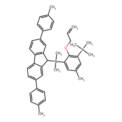 C=CCOc1c([Si](C)(C)C)cc(C)cc1[Si](C)(C)C1c2cc(-c3ccc(C)cc3)ccc2-c2ccc(-c3ccc(C)cc3)cc21